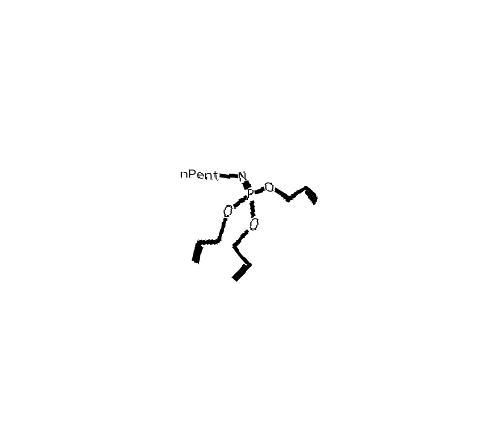 C=CCOP(=NCCCCC)(OCC=C)OCC=C